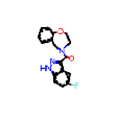 O=C(c1n[nH]c2ccc(F)cc12)N1CCOc2ccccc2C1